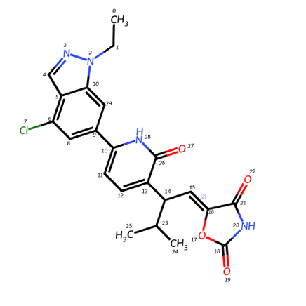 CCn1ncc2c(Cl)cc(-c3ccc(C(/C=C4\OC(=O)NC4=O)C(C)C)c(=O)[nH]3)cc21